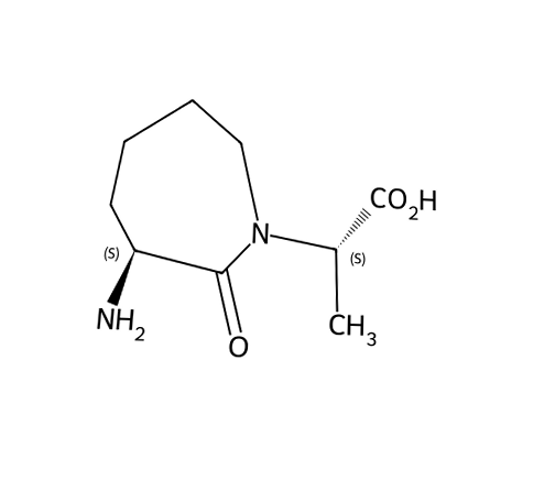 C[C@@H](C(=O)O)N1CCCC[C@H](N)C1=O